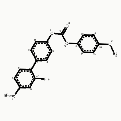 CCCCCc1ccc(-c2ccc(OC(=O)Oc3ccc(OCC)cc3)cc2)c(F)c1